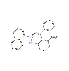 C[C@@H](NC1CCCN(C(=O)O)C1Cc1ccccc1)c1cccc2ccccc12